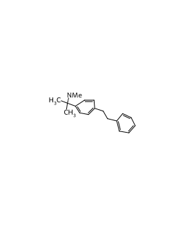 CNC(C)(C)c1ccc(CCc2ccccc2)cc1